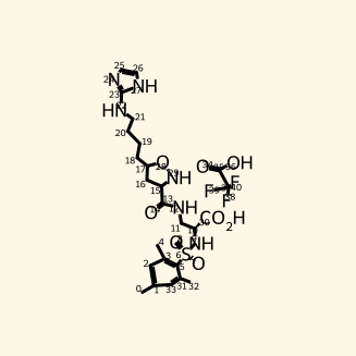 Cc1cc(C)c(S(=O)(=O)N[C@@H](CNC(=O)C2CC(CCCCNc3ncc[nH]3)ON2)C(=O)O)c(C)c1.O=C(O)C(F)(F)F